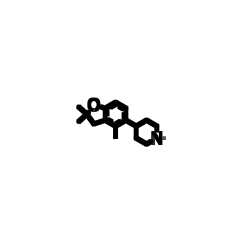 Cc1c(C2CC[N]CC2)ccc2c1CC(C)(C)O2